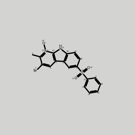 Cc1c(Br)cc2c3cc(S(=O)(=O)c4ccccc4)ccc3[nH]c2[n+]1[O-]